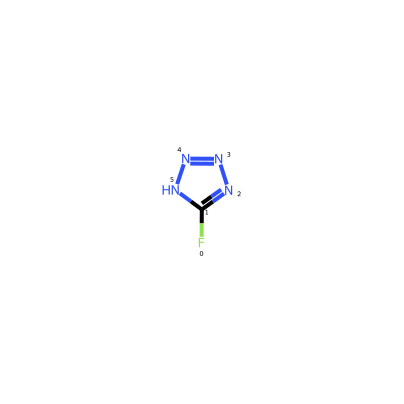 Fc1nnn[nH]1